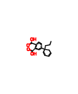 CCCC1(c2ccc(C(=O)O)c(C(=O)O)c2)C=CC=CC1